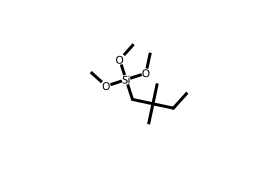 CCC(C)(C)C[Si](OC)(OC)OC